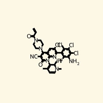 C=CC(=O)N1CCN(c2c(C#N)c(=O)n(C3=C(C)C=CN(C)C3C(C)C)c3nc(-c4c(F)c(N)c(Cl)c(Cl)c4Cl)c(Cl)cc23)CC1